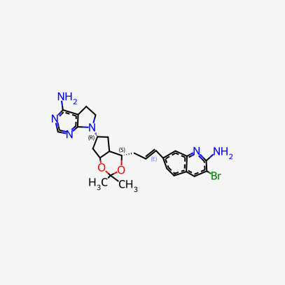 CC1(C)OC2C[C@H](N3CCc4c(N)ncnc43)CC2[C@H](C/C=C/c2ccc3cc(Br)c(N)nc3c2)O1